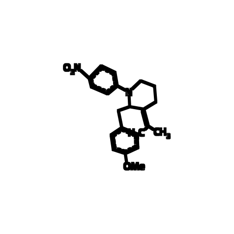 COc1ccc(CC2C(=C(C)C)CCCN2c2ccc([N+](=O)[O-])cc2)cc1